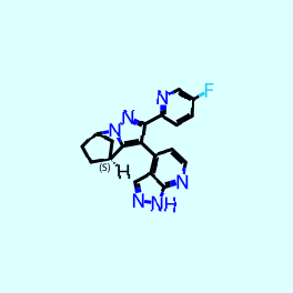 Fc1ccc(-c2nn3c(c2-c2ccnc4[nH]ncc24)[C@H]2CCC3C2)nc1